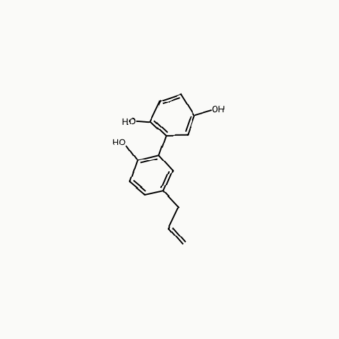 C=CCc1ccc(O)c(-c2cc(O)ccc2O)c1